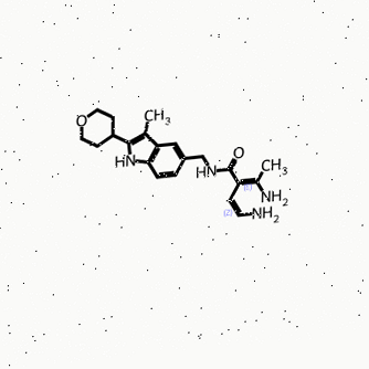 C/C(N)=C(/C=C\N)C(=O)NCc1ccc2[nH]c(C3CCOCC3)c(C)c2c1